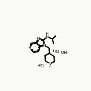 CC(C)Nc1nc2cnccc2n1CC1CCNCC1.Cl.Cl.Cl